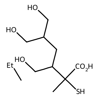 CC(S)(C(=O)O)C(CO)CC(CO)CO.CCC